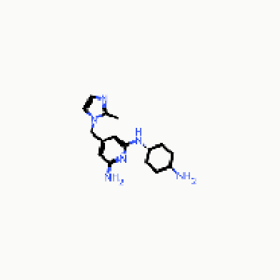 Cc1nccn1Cc1cc(N)nc(N[C@H]2CC[C@H](N)CC2)c1